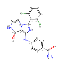 NC(=O)c1ccc(Nc2nc(-c3c(F)cccc3F)n3cc[nH]c(=O)c23)cc1